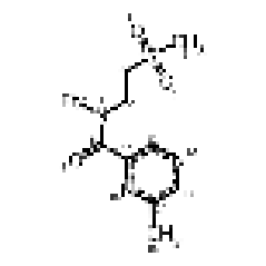 CCN(CCS(C)(=O)=O)C(=O)c1cncc(C)n1